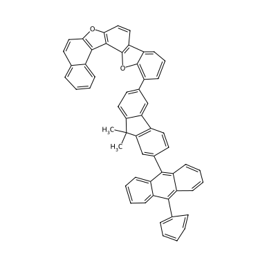 CC1(C)c2ccc(-c3cccc4c3oc3c4ccc4oc5ccc6ccccc6c5c43)cc2-c2ccc(-c3c4ccccc4c(-c4ccccc4)c4ccccc34)cc21